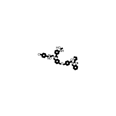 COc1ccccc1CN(Cc1cccs1)C(=O)c1ccc(COCc2ccc(CN(Cc3nc(-c4ccc(Cl)cc4)no3)C(C)c3cccc(NC(C)O)c3)cc2)cc1